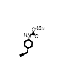 C#CC[C@H]1CC[C@@H](NC(=O)OC(C)(C)C)CC1